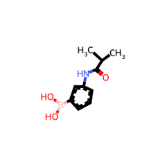 CC(C)C(=O)Nc1cccc(B(O)O)c1